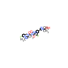 CN1CC(N(Cc2ccc(F)cn2)C(=O)CN2C(=O)N[C@]3(C[C@@H](F)c4cc(-c5cnn(C(C)(C)CO)c5)ccc43)C2=O)(C(F)(F)F)C1